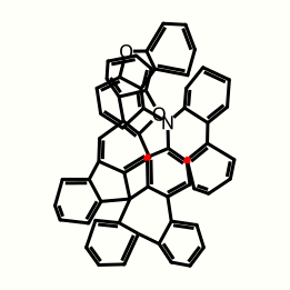 c1ccc(-c2ccccc2N(c2ccc3c(c2)C2(c4ccccc4-c4ccccc4-3)c3ccccc3-c3cc4c(cc32)oc2ccccc24)c2cccc3oc4ccccc4c23)cc1